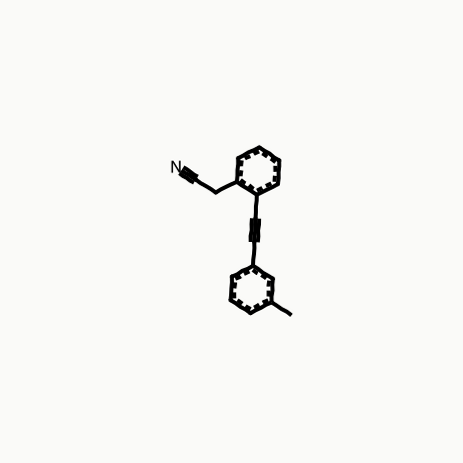 Cc1cccc(C#Cc2ccccc2CC#N)c1